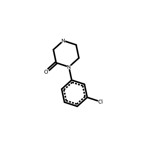 O=C1C[N]CCN1c1cccc(Cl)c1